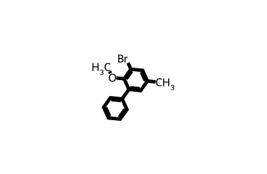 COc1c(Br)cc(C)cc1-c1ccccc1